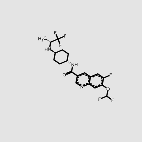 C[C@@H](N[C@H]1CC[C@H](NC(=O)c2cnc3cc(OC(F)F)c(F)cc3c2)CC1)C(F)(F)F